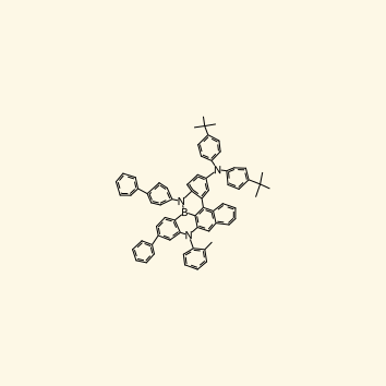 Cc1ccccc1N1c2cc(-c3ccccc3)ccc2B2c3c1cc1ccccc1c3-c1cc(N(c3ccc(C(C)(C)C)cc3)c3ccc(C(C)(C)C)cc3)ccc1N2c1ccc(-c2ccccc2)cc1